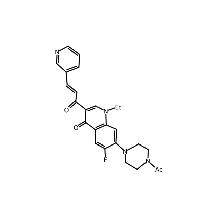 CCn1cc(C(=O)C=Cc2cccnc2)c(=O)c2cc(F)c(N3CCN(C(C)=O)CC3)cc21